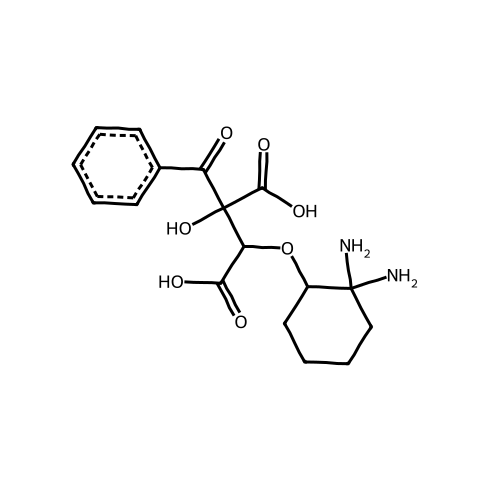 NC1(N)CCCCC1OC(C(=O)O)C(O)(C(=O)O)C(=O)c1ccccc1